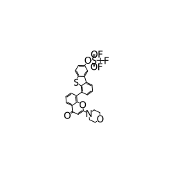 O=c1cc(N2CCOCC2)oc2c(-c3cccc4c3sc3ccc(OS(=O)(=O)C(F)(F)F)cc34)cccc12